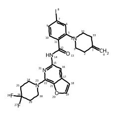 C=C1CCN(c2cc(I)ccc2C(=O)Nc2cc3ccoc3c(N3CCC(F)(F)CC3)n2)CC1